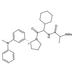 CNC(C)C(=O)NC(C(=O)N1CCC[C@@H]1c1cccc(N(C)c2ccccc2)c1)C1CCCCC1